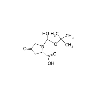 CC(C)(C)OC(O)N1CC(=O)C[C@H]1C(=O)O